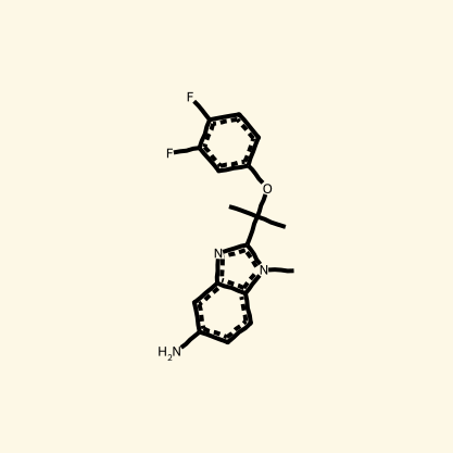 Cn1c(C(C)(C)Oc2ccc(F)c(F)c2)nc2cc(N)ccc21